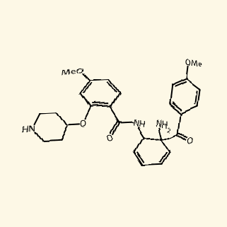 COc1ccc(C(=O)C2(N)C=CC=CC2NC(=O)c2ccc(OC)cc2OC2CCNCC2)cc1